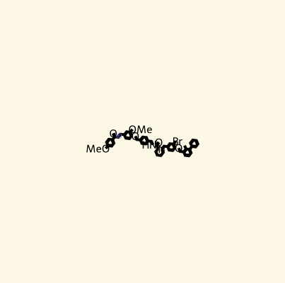 COc1ccc(C(=O)/C=C/c2ccc(OCc3ccc(CNC(=O)C4CCCCN4Cc4ccc(OCc5cccc(-c6ccccc6)c5C)c(Br)c4)cc3)c(OC)c2)cc1